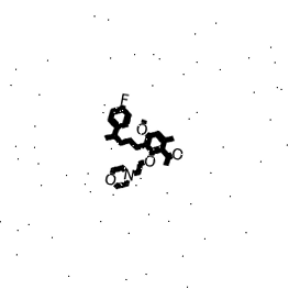 COc1cc(C)c(C(C)=O)c(OCCN2CCOCC2)c1CCCC(C)c1ccc(F)cc1